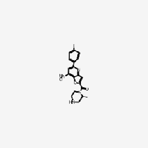 CC(C)c1cc(-c2ccc(F)cc2)nc2cc(C(=O)N3CCNC[C@@H]3C)oc12.Cl